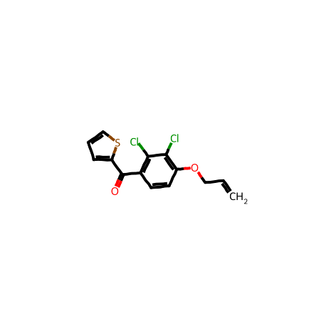 C=CCOc1ccc(C(=O)c2cccs2)c(Cl)c1Cl